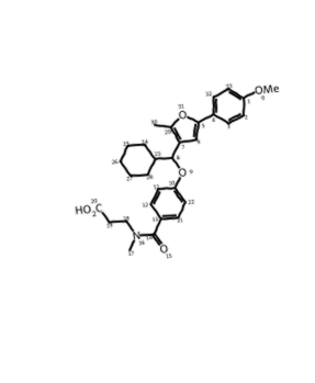 COc1ccc(-c2cc(C(Oc3ccc(C(=O)N(C)CCC(=O)O)cc3)C3CCCCC3)c(C)o2)cc1